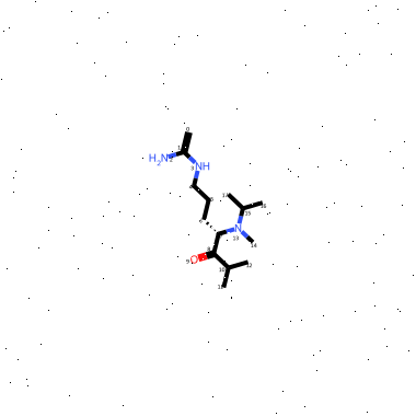 C=C(N)NCCC[C@@H](C(=O)C(C)C)N(C)C(C)C